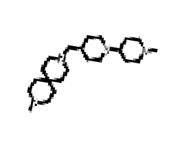 CN1CCC(N2CCC(CN3CCC4(CCN(I)CC4)CC3)CC2)CC1